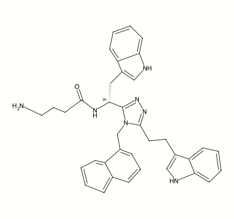 NCCCC(=O)N[C@H](Cc1c[nH]c2ccccc12)c1nnc(CCc2c[nH]c3ccccc23)n1Cc1cccc2ccccc12